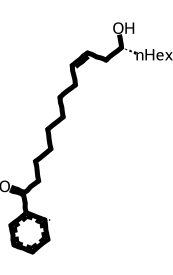 CCCCCC[C@@H](O)C/C=C\CCCCCCCC(=O)c1[c]cccc1